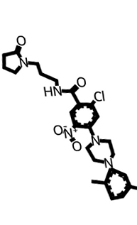 Cc1ccc(C)c(N2CCN(c3cc(Cl)c(C(=O)NCCCN4CCCC4=O)cc3[N+](=O)[O-])CC2)c1